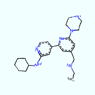 N#CCNCc1cc(-c2ccnc(NC3CCCCC3)c2)nc(N2CCNCC2)c1